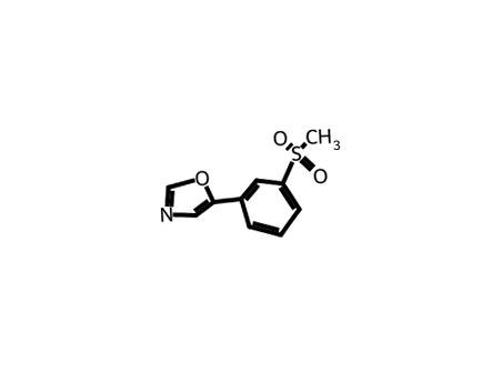 CS(=O)(=O)c1cccc(-c2cnco2)c1